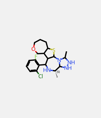 CC1NNC2[C@H](C)NC(c3c(F)cccc3Cl)C3C4COCCCC4SC3N12